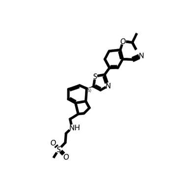 CC(C)OC1=C(C#N)C=C(c2ncc([C@H]3C=CC=C4C(CNCCS(C)(=O)=O)CCC43)s2)CC1